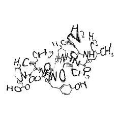 CC[C@H](C)[C@H](NC(=O)[C@H](Cc1ccc(O)cc1)NC(=O)[C@@H]1CCCN1C(=O)[C@H](C)NC(=O)[C@H](CC(C)C)NC(=O)[C@H](C)N)C(=O)N1CCC[C@H]1C(=O)O